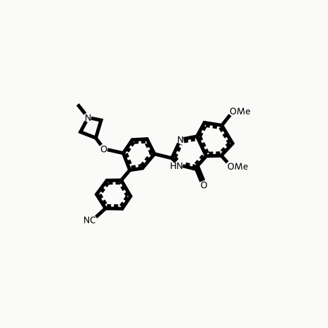 COc1cc(OC)c2c(=O)[nH]c(-c3ccc(OC4CN(C)C4)c(-c4ccc(C#N)cc4)c3)nc2c1